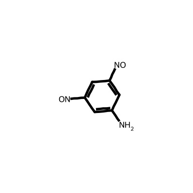 Nc1cc(N=O)cc(N=O)c1